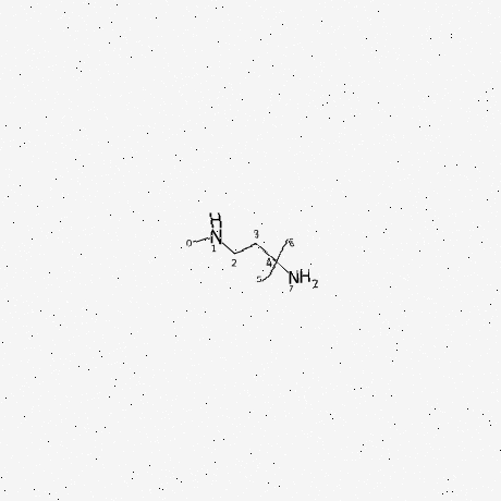 CNCCC(C)(C)N